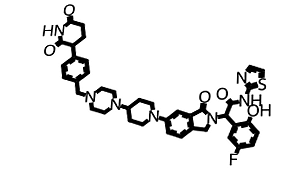 O=C1CCC(c2ccc(CN3CCN(C4CCN(c5ccc6c(c5)C(=O)N(C(C(=O)Nc5nccs5)c5cc(F)ccc5O)C6)CC4)CC3)cc2)C(=O)N1